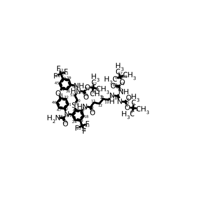 CC(C)(C)OC(=O)N=C(NCCCCC(=O)Nc1cc(C(F)(F)F)cc(N(C(N)=O)c2ccc(Oc3cc(N)cc(C(F)(F)F)c3)cc2)c1SCCNC(=O)OC(C)(C)C)NC(=O)OC(C)(C)C